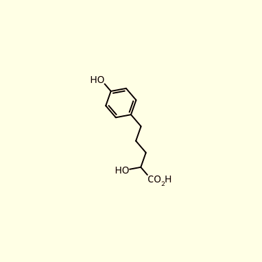 O=C(O)C(O)CCCc1ccc(O)cc1